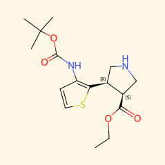 CCOC(=O)[C@@H]1CNC[C@@H]1c1sccc1NC(=O)OC(C)(C)C